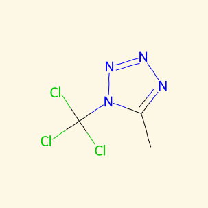 Cc1nnnn1C(Cl)(Cl)Cl